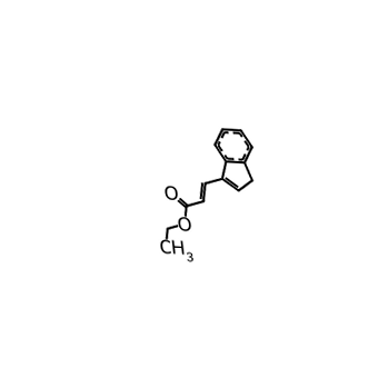 CCOC(=O)C=CC1=CCc2ccccc21